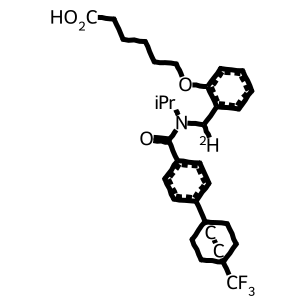 [2H]C(c1ccccc1OCCCCCC(=O)O)N(C(=O)c1ccc(C23CCC(C(F)(F)F)(CC2)CC3)cc1)C(C)C